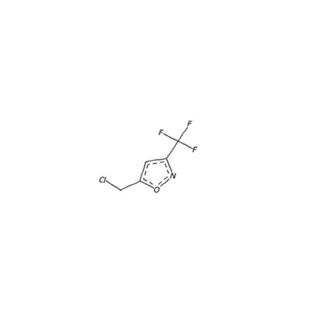 FC(F)(F)c1cc(CCl)on1